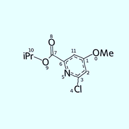 COc1cc(Cl)nc(C(=O)OC(C)C)c1